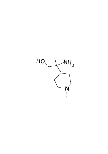 CN1CCC(C(C)(N)CO)CC1